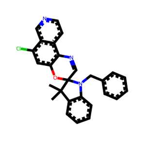 CC1(C)c2ccccc2N(Cc2ccccc2)C12C=Nc1c(cc(Cl)c3cnccc13)O2